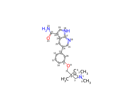 CN(C)CC(C)(C)COc1cccc(-c2cnc3[nH]cc(C(N)=O)c3c2)c1